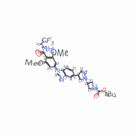 COc1cc(-n2cnc3cc(-c4cnn(C5CN(C(=O)OC(C)(C)C)C5)c4)ccc32)cc(OC)c1C(=O)NCC(F)(F)F